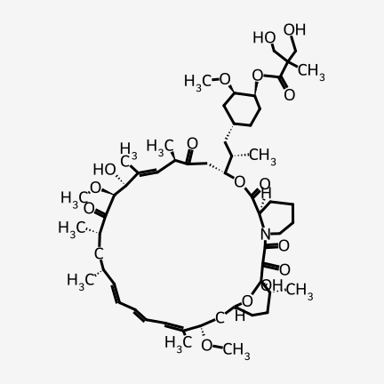 CO[C@H]1C[C@@H]2CC[C@@H](C)[C@@](O)(O2)C(=O)C(=O)N2CCCC[C@@H]2C(=O)O[C@@H]([C@@H](C)C[C@H]2CC[C@H](OC(=O)C(C)(CO)CO)[C@H](OC)C2)CC(=O)[C@H](C)/C=C(\C)[C@@H](O)[C@H](OC)C(=O)[C@@H](C)C[C@@H](C)/C=C/C=C/C=C/1C